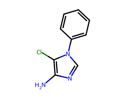 Nc1ncn(-c2ccccc2)c1Cl